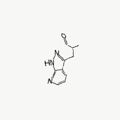 CC(C=O)Cc1n[nH]c2ncccc12